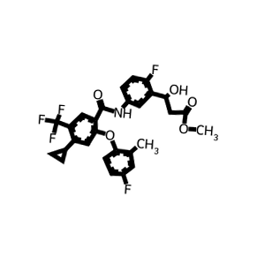 COC(=O)CC(O)c1cc(NC(=O)c2cc(C(F)(F)F)c(C3CC3)cc2Oc2ccc(F)cc2C)ccc1F